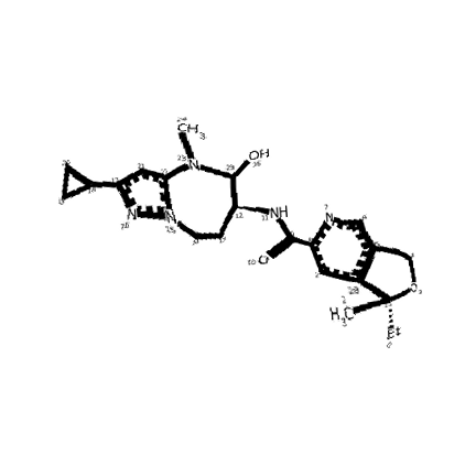 CC[C@@]1(C)OCc2cnc(C(=O)N[C@H]3CCn4nc(C5CC5)cc4N(C)C3O)cc21